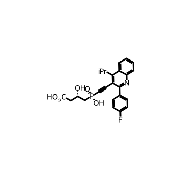 CC(C)c1c(C#CP(=O)(O)C[C@@H](O)CC(=O)O)c(-c2ccc(F)cc2)nc2ccccc12